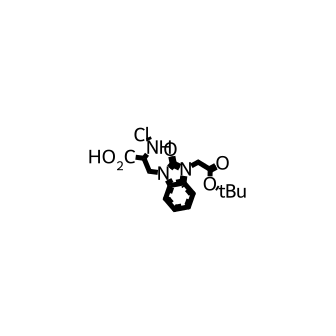 CC(C)(C)OC(=O)Cn1c(=O)n(CC(NCl)C(=O)O)c2ccccc21